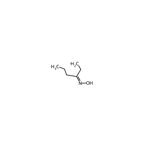 [CH2]C/C(CCC)=N\O